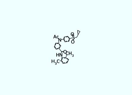 CC(=O)N(c1ccc(S(=O)(=O)CC2CC2)cc1)c1cccc(C(=O)Nc2c(C)cccc2C)c1